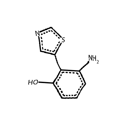 Nc1cccc(O)c1-c1cncs1